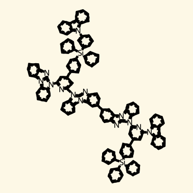 c1ccc([Si](c2ccccc2)(c2ccccc2)c2ccc(-c3cc(-n4c5ccccc5c5ccccc54)nc(-n4c5ccccc5n5c6cc(-c7ccc8nc9n(-c%10cc(-c%11ccc([Si](c%12ccccc%12)(c%12ccccc%12)c%12cccc(-n%13c%14ccccc%14c%14ccccc%14%13)c%12)cc%11)cc(-n%11c%12ccccc%12n%12c%13ccccc%13nc%11%12)n%10)c%10ccccc%10n9c8c7)ccc6nc45)c3)cc2)cc1